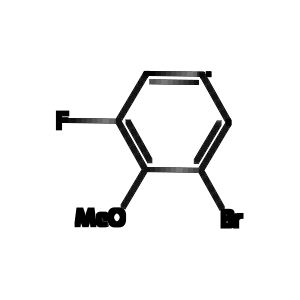 COc1c(F)c[c]cc1Br